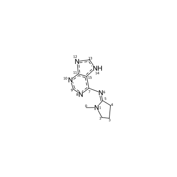 CN1CCCC1=Nc1ncnc2nc[nH]c12